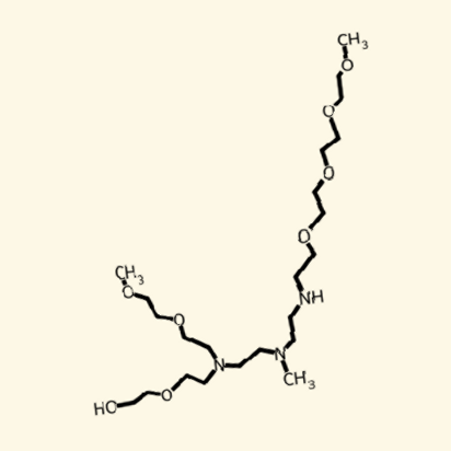 COCCOCCOCCOCCNCCN(C)CCN(CCOCCO)CCOCCOC